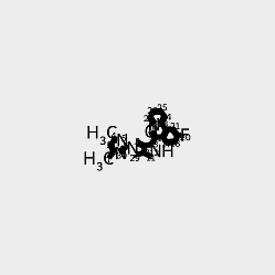 Cc1cc(C)nc(N2C=C3C(CNC3C(=O)c3ccc(F)cc3-c3ccccn3)C2)n1